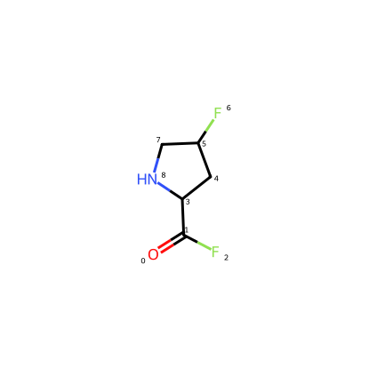 O=C(F)C1CC(F)CN1